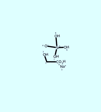 O=C(O)CO.[Na+].[O-][Si](O)(O)O